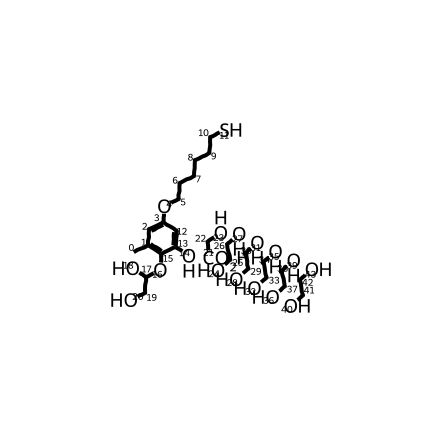 Cc1cc(OCCCCCCS)cc(O)c1OC(O)CO.O=C(O)CO.OCCO.OCCO.OCCO.OCCO.OCCO